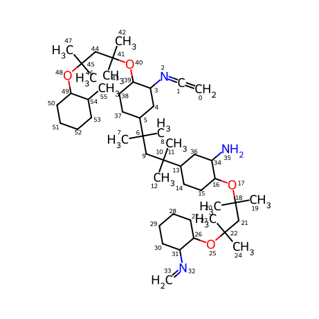 C=C=NC1CC(C(C)(C)CC(C)(C)C2CCC(OC(C)(C)CC(C)(C)OC3CCCCC3N=C)C(N)C2)CCC1OC(C)(C)CC(C)(C)OC1CCCCC1C